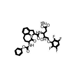 CC(C)(C)OC(=O)CC(NC(=O)C1Cc2cccc3c2N1C(=O)C(NC(=O)Oc1ccccc1)CC3)C(O)COc1c(F)c(F)cc(F)c1F